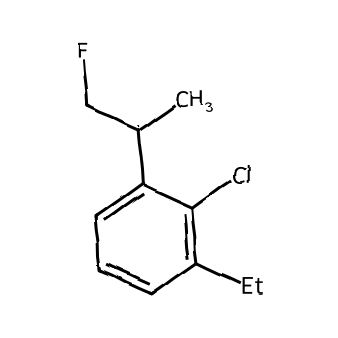 CCc1cccc([C](C)CF)c1Cl